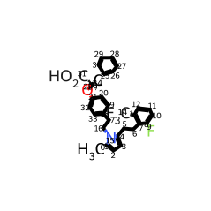 Cc1ccc(CCc2c(F)cccc2C(F)(F)F)n1CCc1ccc(O[C@H](Cc2ccccc2)C(=O)O)cc1